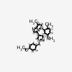 COc1ccc(Cn2cc(-c3cnc4c(C)cn(-c5cc(N)ccc5C)n34)cn2)cc1